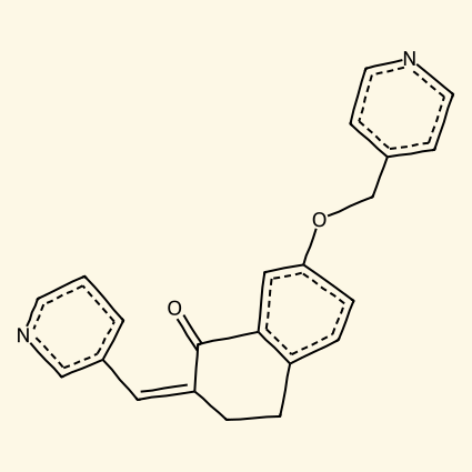 O=C1C(=Cc2cccnc2)CCc2ccc(OCc3ccncc3)cc21